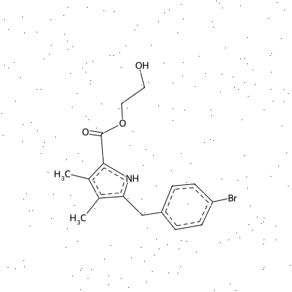 Cc1c(Cc2ccc(Br)cc2)[nH]c(C(=O)OCCO)c1C